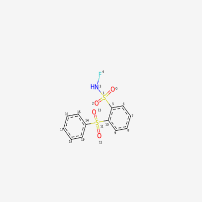 O=S(=O)(NF)c1ccccc1S(=O)(=O)c1ccccc1